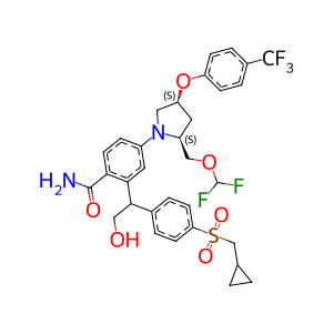 NC(=O)c1ccc(N2C[C@@H](Oc3ccc(C(F)(F)F)cc3)C[C@H]2COC(F)F)cc1C(CO)c1ccc(S(=O)(=O)CC2CC2)cc1